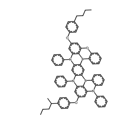 CCCCc1ccc(Oc2cc3c4c(c2)N(c2ccccc2)c2cc5c(cc2B4c2ccccc2O3)B2c3ccccc3N(c3ccccc3)c3cc(Oc4ccc(C(C)CCC)cc4)cc(c32)N5c2ccccc2)cc1